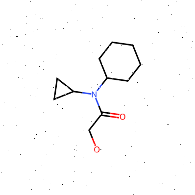 [O]CC(=O)N(C1CCCCC1)C1CC1